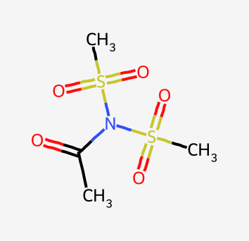 CC(=O)N(S(C)(=O)=O)S(C)(=O)=O